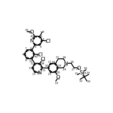 [CH2]c1c(Cl)cc(-c2cccc(-c3ccnc(-c4cc5c(c(OC)c4)CN(CCO[Si](C)(C)C(C)(C)C)CC5)c3Cl)c2Cl)nc1OC